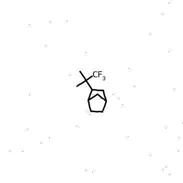 CC(C)(C1CC2CCC1C2)C(F)(F)F